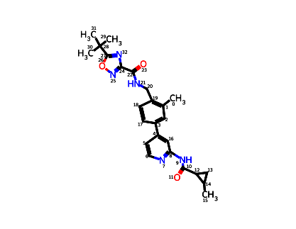 Cc1cc(-c2ccnc(NC(=O)C3CC3C)c2)ccc1CNC(=O)c1noc(C(C)(C)C)n1